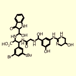 CC(C)(C)c1cc(Br)cc(C(NC(=O)CNC(O)c2cc(O)cc(NC3=NCC(O)CN3)c2)C(NC(O)C2Nc3ccccc3C2=O)C(=O)O)c1